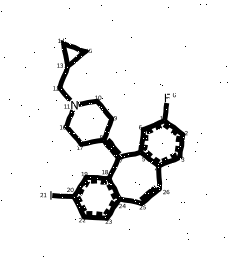 Fc1ccc2c(c1)C(=C1CCN(CC3CC3)CC1)c1cc(I)ccc1C=C2